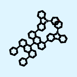 c1ccc(-c2cccc3c(-c4c5cccc(-c6ccc7c(c6)c6ccccc6n7-c6ccccc6)c5cc5c(-c6ccc7c(c6)c6ccccc6n7-c6ccccc6)cccc45)c4cccc(-c5ccccc5)c4cc23)cc1